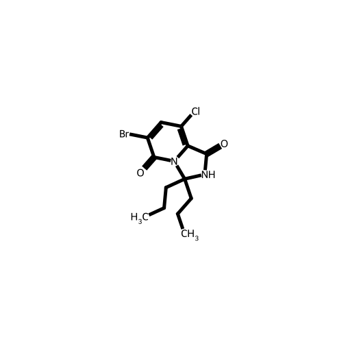 CCCC1(CCC)NC(=O)c2c(Cl)cc(Br)c(=O)n21